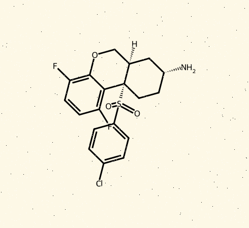 N[C@@H]1CC[C@@]2(S(=O)(=O)c3ccc(Cl)cc3)c3c(F)ccc(F)c3OC[C@H]2C1